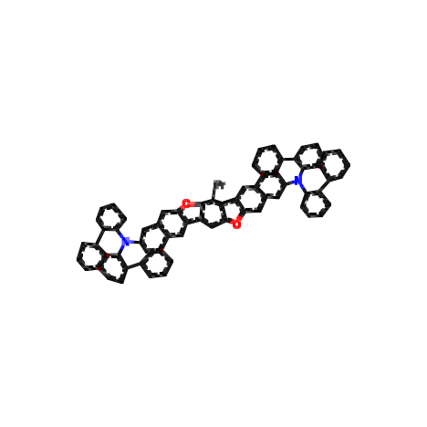 CC(C)c1c2oc3cc4cc(N(c5ccccc5-c5ccccc5)c5ccccc5-c5ccccc5)ccc4cc3c2cc2oc3cc4cc(N(c5ccccc5-c5ccccc5)c5ccccc5-c5ccccc5)ccc4cc3c12